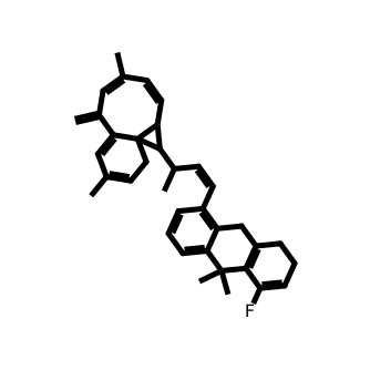 C=C1/C=C(C)\C=C/C2C(C(C)/C=C\c3cccc4c3CC3=C(C(F)=CCC3)C4(C)C)C23CC=C(C)C=C13